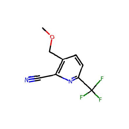 COCc1ccc(C(F)(F)F)nc1C#N